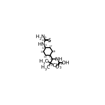 CC(C)(C)C(NC(=O)O)C1CCC(NC(N)=S)CC1